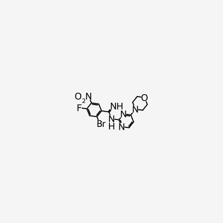 N=C(Nc1nccc(N2CCOCC2)n1)c1cc([N+](=O)[O-])c(F)cc1Br